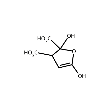 O=C(O)C1C=C(O)OC1(O)C(=O)O